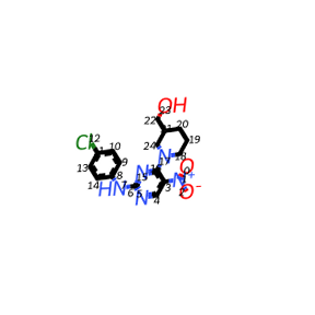 O=[N+]([O-])c1cnc(Nc2ccc(Cl)cc2)nc1N1CCCC(CO)C1